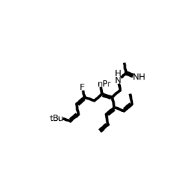 C=C/C=C(\C=C/C)C(/CNC(C)=N)=C(/CCC)C/C(F)=C\C=C/C(C)(C)C